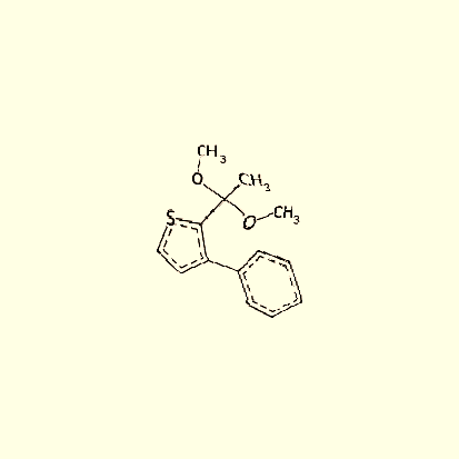 COC(C)(OC)c1sccc1-c1ccccc1